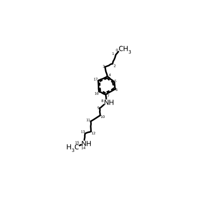 CCCCc1ccc(NCCCCCNC)cc1